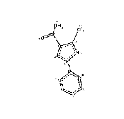 NC(=O)c1cn(-c2ncccn2)nc1C(F)(F)F